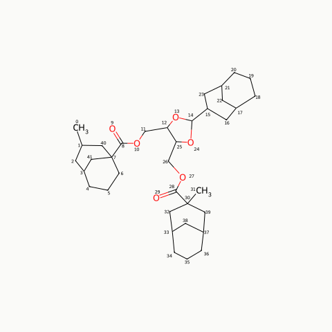 CC1CC2CCCC(C(=O)OCC3OC(C4CC5CCCC(C5)C4)OC3COC(=O)C3(C)CC4CCCC(C4)C3)(C1)C2